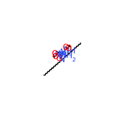 CCCCCCCC/C=C/CCCCCCCCN(CCCCCCCC/C=C/CCCCCCCC)C(=O)CCN(CC(C)NC(=O)OC(C)(C)C)/C(N)=N/CC(C)NC(=O)OC(C)(C)C